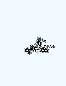 COc1ccc(C(NC(=O)c2cnc(-c3cccnn3)nc2O)c2ccc3cccc(OC)c3n2)cc1